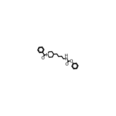 O=C(NCCCCC1CCN(C(=O)c2ccccc2)CC1)Oc1ccccc1